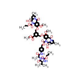 C=CCOC(=O)N[C@H](C(=O)N[C@@H](C)C(=O)Nc1ccc(COC(=O)N2c3cc(OCc4cc(COc5cc6c(cc5OC)C(=O)N5C=C(C)C[C@H]5[C@H](O)N6C(=O)OCC=C)cc(C(=O)OC)c4)c(OC)cc3C(=O)N3C=C(C)C[C@H]3[C@@H]2O)cc1)C(C)C